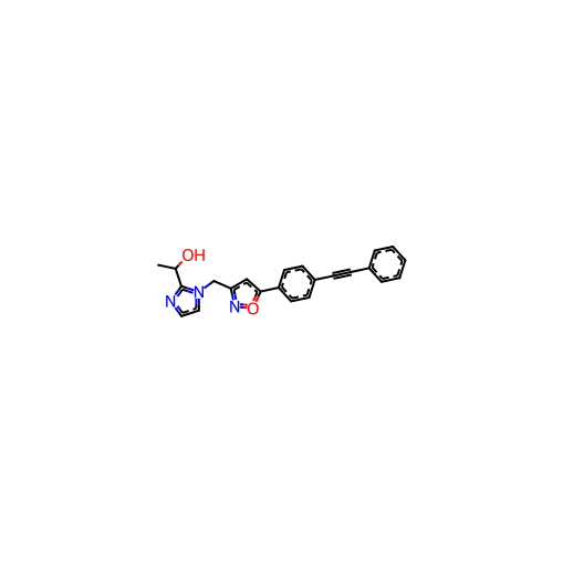 CC(O)c1nccn1Cc1cc(-c2ccc(C#Cc3ccccc3)cc2)on1